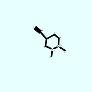 C#CC1CCN(C)P(C)C1